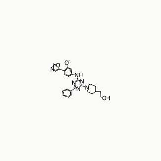 COc1cc(Nc2nc(-c3ccccc3)nc(N3CCC(CCO)CC3)n2)ccc1-c1cnco1